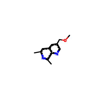 COCc1cnc2c(C)nc(C)cc2c1